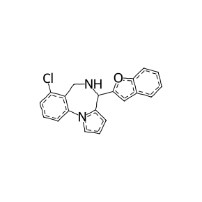 Clc1cccc2c1CNC(c1cc3ccccc3o1)c1cccn1-2